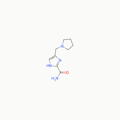 NC(=O)c1nc(CN2CCCC2)c[nH]1